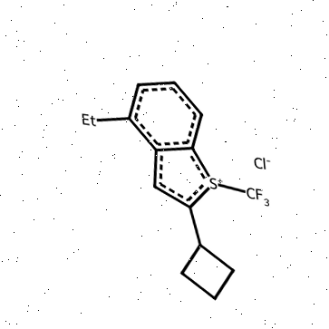 CCc1cccc2c1cc(C1CCC1)[s+]2C(F)(F)F.[Cl-]